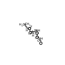 CN(C)CCNc1cc(F)cc(-c2cncc3[nH]c(-c4n[nH]c5ccc(-c6cncc(NC(=O)CC7CCCCC7)c6)nc45)cc23)c1